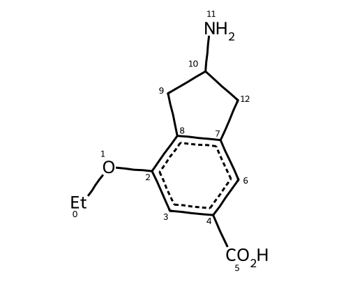 CCOc1cc(C(=O)O)cc2c1CC(N)C2